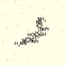 CCCN(CCc1cc(O)c(CCN(CCC)C2CCc3nc(N)sc3C2)cc1O)C1CCc2nc(N)sc2C1